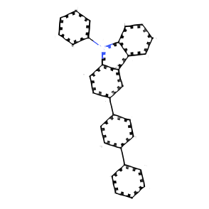 c1ccc(-c2ccc(-c3ccc4c(c3)c3ccccc3n4-c3ccccc3)cc2)cc1